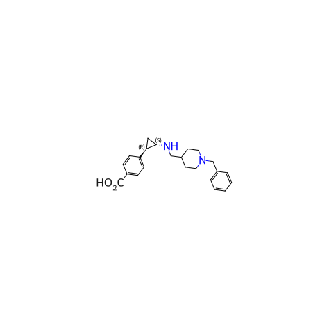 O=C(O)c1ccc([C@H]2C[C@@H]2NCC2CCN(Cc3ccccc3)CC2)cc1